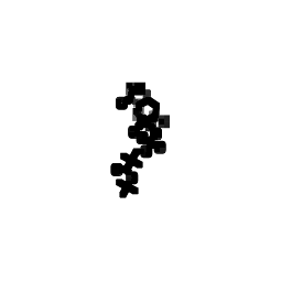 CC(C)(C)OC(=O)C(C)(C)COS(=O)(=O)ON1C(=O)N2C[C@H]1CC[C@H]2C(N)=O